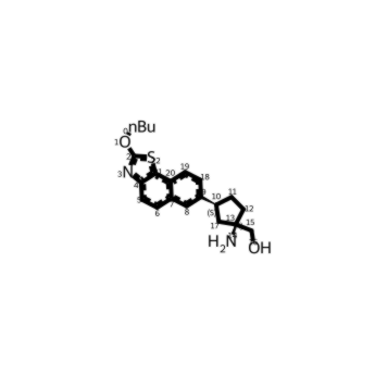 CCCCOc1nc2ccc3cc([C@H]4CC[C@](N)(CO)C4)ccc3c2s1